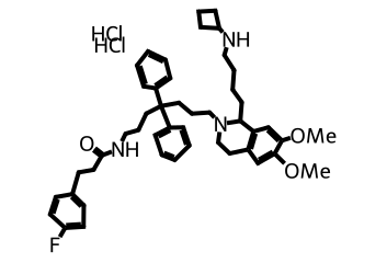 COc1cc2c(cc1OC)C(CCCCNC1CCC1)N(CCCC(CCCNC(=O)CCc1ccc(F)cc1)(c1ccccc1)c1ccccc1)CC2.Cl.Cl